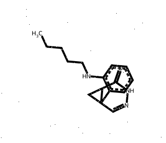 CCCCCNc1ccccc1C12C=NNC(=O)C1C2